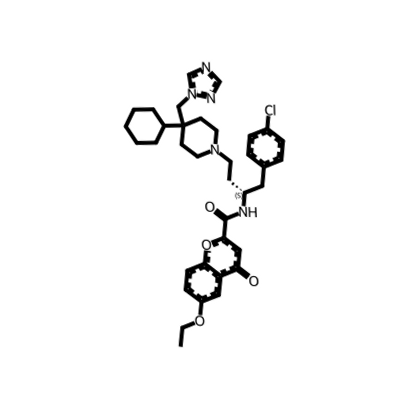 CCOc1ccc2oc(C(=O)N[C@H](CCN3CCC(Cn4cncn4)(C4CCCCC4)CC3)Cc3ccc(Cl)cc3)cc(=O)c2c1